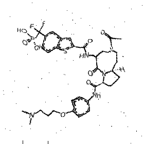 CC(=O)N1CC[C@H]2CC[C@@H](C(=O)Nc3ccc(OCCCN(C)C)cc3)N2C(=O)C(NC(=O)c2cc3cc(C(F)(F)P(=O)(O)O)ccc3s2)C1